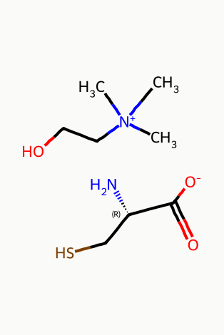 C[N+](C)(C)CCO.N[C@@H](CS)C(=O)[O-]